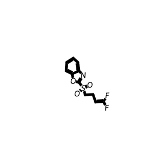 O=S(=O)(CCC=C(F)F)c1nc2ccccc2o1